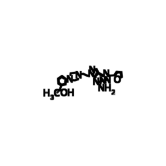 C[C@H](O)c1cccc(N2CCN(CCn3ncc4c3nc(N)n3nc(-c5ccco5)nc43)CC2)c1